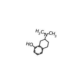 CN(C)C1CCc2cccc(O)c2C1